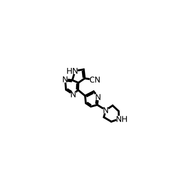 N#Cc1c[nH]c2ncnc(-c3ccc(N4CCNCC4)nc3)c12